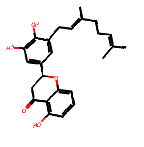 CC(C)=CCC/C(C)=C/Cc1cc([C@@H]2CC(=O)c3c(O)cccc3O2)cc(O)c1O